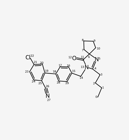 CCCCC1=NC2(CCCC2)C(=O)N1Cc1ccc(-c2cc(Cl)ccc2C#N)cc1